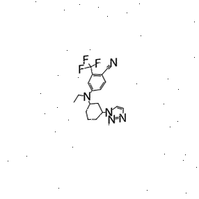 CCN(c1ccc(C#N)c(C(F)(F)F)c1)C1CCCC(n2ccnn2)C1